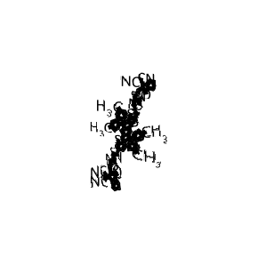 Cc1ccc(C2(c3ccc(C)cc3)c3cc4c(cc3-c3sc5cc(-c6nc7sc(/C=C8\C(=O)c9ccccc9C8=C(C#N)C#N)nc7s6)ccc5c32)C(c2ccc(C)cc2)(c2ccc(C)cc2)c2c-4sc3cc(-c4nc5sc(/C=C6\C(=O)c7ccccc7C6=C(C#N)C#N)nc5s4)sc23)cc1